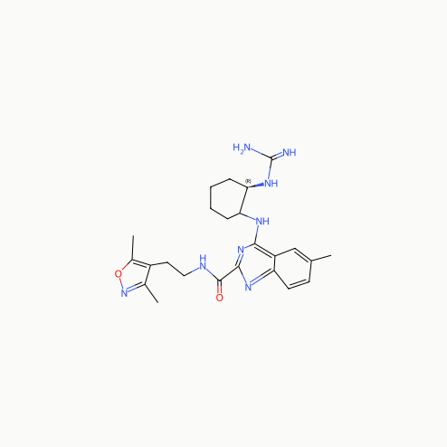 Cc1ccc2nc(C(=O)NCCc3c(C)noc3C)nc(NC3CCCC[C@H]3NC(=N)N)c2c1